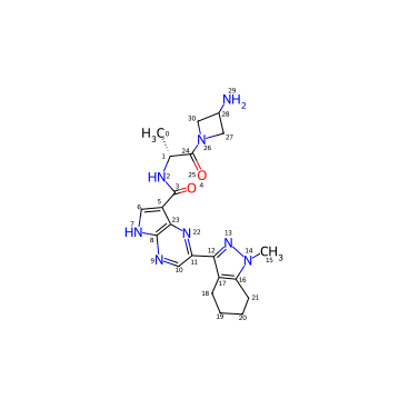 C[C@@H](NC(=O)c1c[nH]c2ncc(-c3nn(C)c4c3CCCC4)nc12)C(=O)N1CC(N)C1